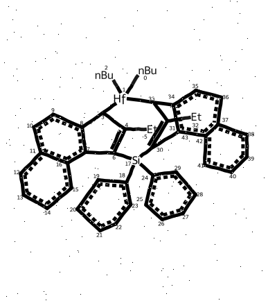 CCC[CH2][Hf]1([CH2]CCC)[CH]2C(CC)=C(c3c2ccc2ccccc32)[Si](c2ccccc2)(c2ccccc2)C2=C(CC)[CH]1c1ccc3ccccc3c12